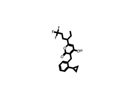 CCC(CCC(F)(F)F)c1cc(O)c(Cc2ccccc2C2CC2)c(=O)o1